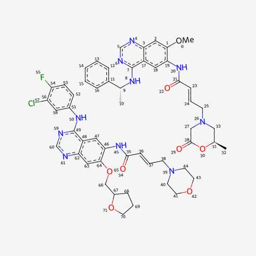 COc1cc2ncnc(N[C@H](C)c3ccccc3)c2cc1NC(=O)/C=C/CN1CC(=O)O[C@H](C)C1.O=C(/C=C/CN1CCOCC1)Nc1cc2c(Nc3ccc(F)c(Cl)c3)ncnc2cc1OCC1CCCO1